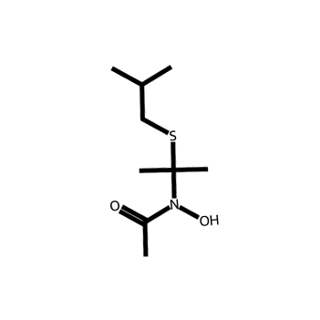 CC(=O)N(O)C(C)(C)SCC(C)C